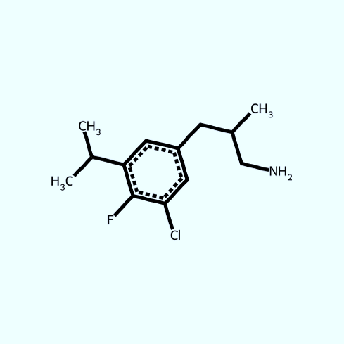 CC(CN)Cc1cc(Cl)c(F)c(C(C)C)c1